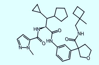 Cn1nccc1C(=O)N[C@H](C(=O)Nc1cccc(C2(C(=O)NCC3(C)CCC3)CCOC2)c1)C(C1CCCC1)C1CC1